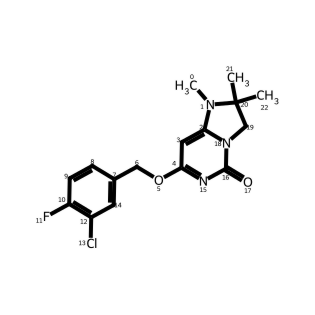 CN1c2cc(OCc3ccc(F)c(Cl)c3)nc(=O)n2CC1(C)C